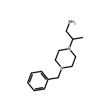 CC(CN)N1CCN(Cc2ccccc2)CC1